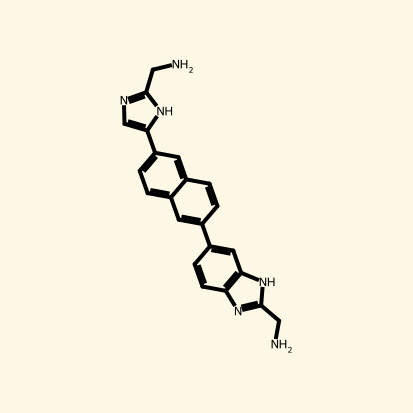 NCc1ncc(-c2ccc3cc(-c4ccc5nc(CN)[nH]c5c4)ccc3c2)[nH]1